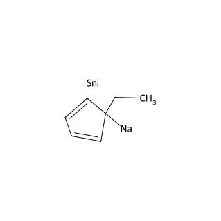 CC[C]1([Na])C=CC=C1.[Sn]